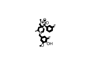 COc1cc(CN2CC[C@@]3(C[C@@H]2C)CN(C)S(=O)(=O)N3c2cccc(F)c2)cc(F)c1O